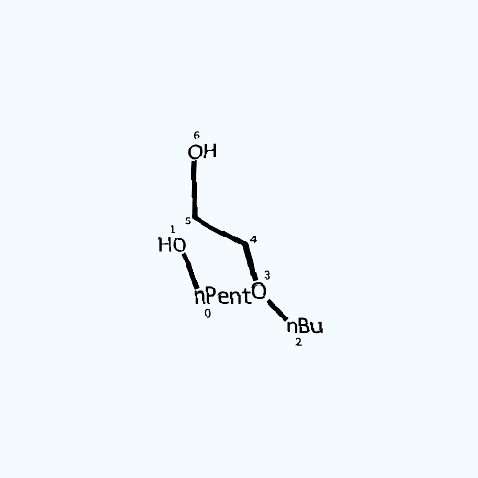 CCCCCO.CCCCOCCO